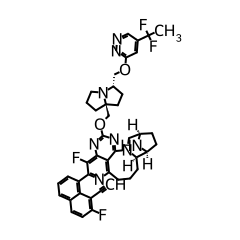 C#Cc1c(F)ccc2cccc(-c3nc4c5c(nc(OC[C@@]67CCCN6[C@H](COc6cc(C(C)(F)F)cnn6)CC7)nc5c3F)N3C[C@H]5CC[C@H](N5)[C@H]3CCC4)c12